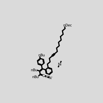 CCCCCCCCCCCCCCCCCCCC#CCCCc1ccccc1C(=C(CCCC)C(=C=[N+]=[N-])CCCC)c1ccc(CCCC)cc1.[CH3][Ni][CH3]